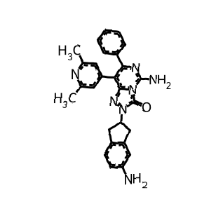 Cc1cc(-c2c(-c3ccccc3)nc(N)n3c(=O)n(C4Cc5ccc(N)cc5C4)nc23)cc(C)n1